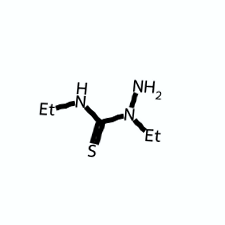 CCNC(=S)N(N)CC